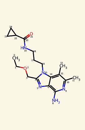 CCOCc1nc2c(N)nc(C)c(C)c2n1CCCNC(=O)C1CC1